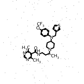 Cc1ncnc(C)c1C(=O)NCC[C@@H](C)N1CCC(N(Cc2ccsc2)c2ccc(OC(F)(F)F)cc2)CC1